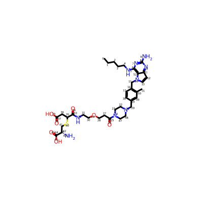 CCCCCNc1nc(N)nc2ccn(Cc3ccc(CN4CCN(C(=O)CCOCCNC(=O)C(CC(=O)O)SC[C@H](N)C(=O)O)CC4)cc3C)c12